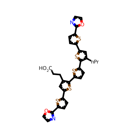 CCCc1cc(-c2ccc(-c3ncco3)s2)sc1-c1ccc(-c2sc(-c3ccc(-c4ncco4)s3)cc2CCC(=O)O)s1